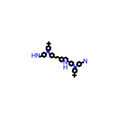 CC(C)(C)c1ccc(N(c2ccc(C=N)cc2)c2ccc(/C=C/c3ccc4c(c3)C=CC(c3ccc(N(c5ccc(C#N)cc5)c5ccc(C(C)(C)C)cc5)cc3)N4)cc2)cc1